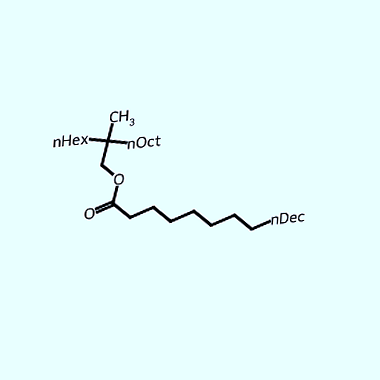 CCCCCCCCCCCCCCCCCC(=O)OCC(C)(CCCCCC)CCCCCCCC